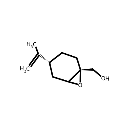 C=C(C)[C@@H]1CC[C@]2(CO)OC2C1